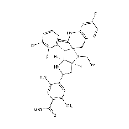 COC(=O)c1cc(N)c(C2C[C@H]3[C@@H](N2)[C@H](c2cccc(Cl)c2F)[C@@]2(Cc4ccc(Cl)cc4NC2=O)N3CC(C)C)cc1C